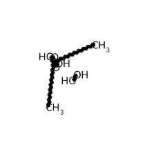 CCCCCCCCCCCCCCCCCCC(CCCCCCCCCCCCCCCCCC)(CC(=O)O)C(=O)O.OCCO